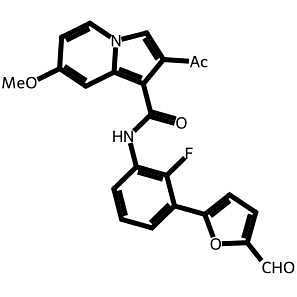 COc1ccn2cc(C(C)=O)c(C(=O)Nc3cccc(-c4ccc(C=O)o4)c3F)c2c1